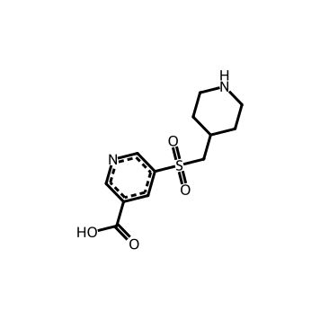 O=C(O)c1cncc(S(=O)(=O)CC2CCNCC2)c1